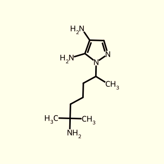 CC(CCCC(C)(C)N)n1ncc(N)c1N